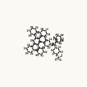 CC(C)(C)c1ccc(N(c2ccc3c(c2)c2ccccc2c2c(-c4ccccc4)cc(-c4ccccc4)c(-c4ccccc4)c32)c2cnccn2)cc1